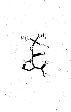 CC(C)(C)OC(=O)N1N=CCC1C(=O)O